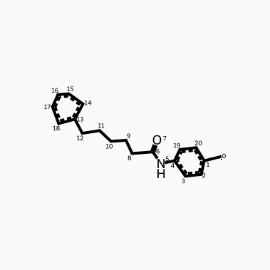 [CH2]c1ccc(NC(=O)CCCCCc2ccccc2)cc1